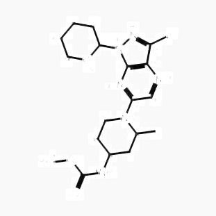 CC1CC(NC(=O)OC(C)(C)C)CCN1c1cnc2c(I)nn(C3CCCCO3)c2n1